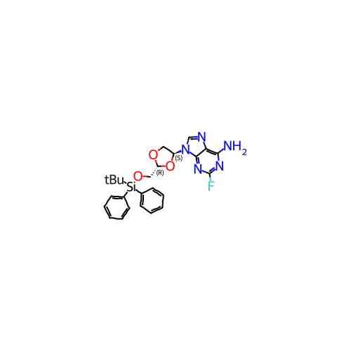 CC(C)(C)[Si](OC[C@@H]1OC[C@@H](n2cnc3c(N)nc(F)nc32)O1)(c1ccccc1)c1ccccc1